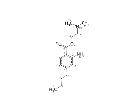 CCCCc1ccc(C(=O)OCCN(C)C)c(N)c1